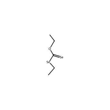 CCOC(=[Se])[Se]CC